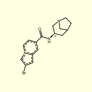 O=C(N[C@@H]1CC2CCN(C2)C1)c1ccn2cc(Br)cc2c1